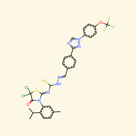 Cc1ccc(C(C)C)c(N2C(=O)C(Cl)(Cl)S/C2=N\C(S)N/N=C/c2ccc(-c3ncn(-c4ccc(OC(F)(F)F)cc4)n3)cc2)c1